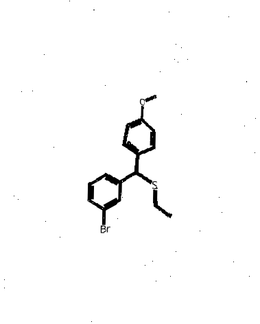 CCSC(c1ccc(OC)cc1)c1cccc(Br)c1